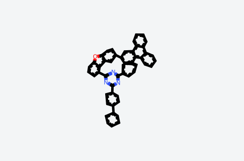 c1ccc(-c2ccc(-c3nc(-c4ccccc4)nc(-c4cccc5oc6ccc(-c7ccc8c9ccccc9c9ccccc9c8c7)cc6c45)n3)cc2)cc1